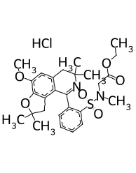 CCOC(=O)CN(C)S(=O)(=O)c1ccccc1C1=NC(C)(C)Cc2cc(OC)c3c(c21)CC(C)(C)O3.Cl